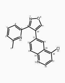 Cc1cccc(-c2nocc2-c2ccc3nccc(Cl)c3c2)n1